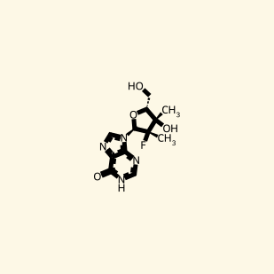 C[C@]1(O)[C@@H](CO)O[C@H](n2cnc3c(=O)[nH]cnc32)[C@@]1(C)F